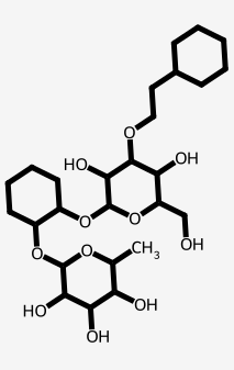 CC1OC(OC2CCCCC2OC2OC(CO)C(O)C(OCCC3CCCCC3)C2O)C(O)C(O)C1O